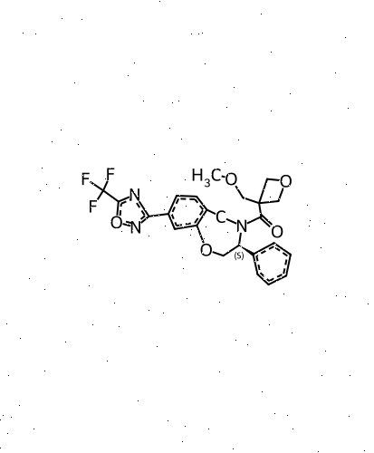 COCC1(C(=O)N2Cc3ccc(-c4noc(C(F)(F)F)n4)cc3OC[C@@H]2c2ccccc2)COC1